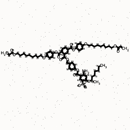 C=CC(=O)OCCCCCCCCCOc1ccc(OC(=O)c2ccc(C(=O)Oc3ccc(OCCCCCCCCCOC(=O)C=C)cc3)c(C(=O)OCc3ccc(OC(=O)c4cc([N+](=O)[O-])c(O[C@@H](C)CCCCCC)cc4N)cc3)c2)cc1